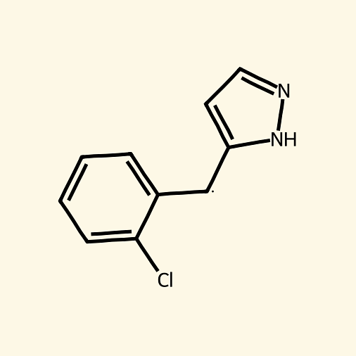 Clc1ccccc1[CH]c1ccn[nH]1